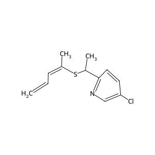 C=C/C=C(/C)SC(C)c1ccc(Cl)cn1